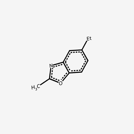 CCc1ccc2oc(C)nc2c1